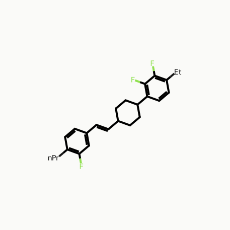 CCCc1ccc(/C=C/C2CCC(c3ccc(CC)c(F)c3F)CC2)cc1F